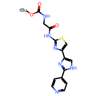 CC(C)(C)OC(=O)NCC(=O)Nc1nc(-c2c[nH]c(-c3ccncc3)n2)cs1